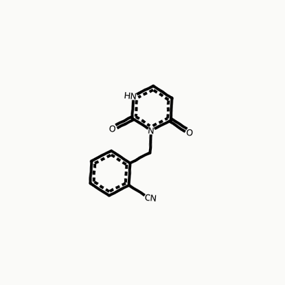 N#Cc1ccccc1Cn1c(=O)cc[nH]c1=O